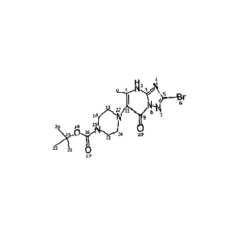 Cc1[nH]c2nc(Br)nn2c(=O)c1N1CCN(C(=O)OC(C)(C)C)CC1